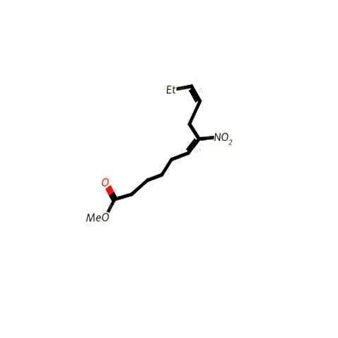 CC/C=C\C/C(=C\CCCCC(=O)OC)[N+](=O)[O-]